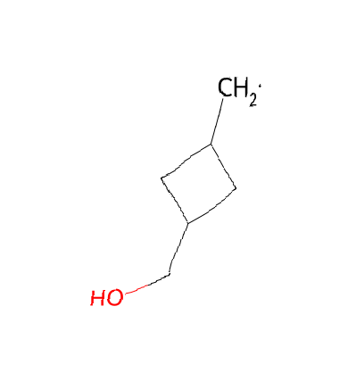 [CH2]C1CC(CO)C1